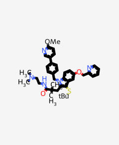 COc1ccc(-c2ccc(Cn3c(CC(C)(C)C(=O)NCCN(C)C)c(SC(C)(C)C)c4cc(OCc5ccccn5)ccc43)cc2)cn1